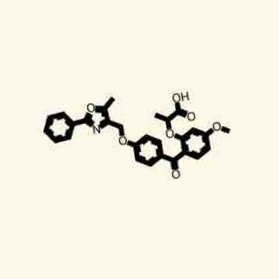 COc1ccc(C(=O)c2ccc(OCc3nc(-c4ccccc4)oc3C)cc2)c(OC(C)C(=O)O)c1